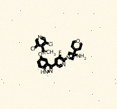 C[C@@H](Oc1ccc2[nH]nc(-c3cnc(N4CC(N)(C5CCOCC5)C4)c(F)c3)c2c1)c1c(Cl)cncc1Cl